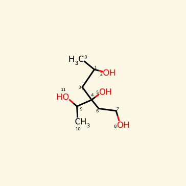 CC(O)[CH]C(O)(CCO)C(C)O